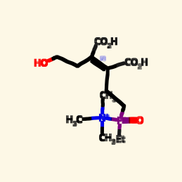 CCP(=O)(CC/C(C(=O)O)=C(\CCO)C(=O)O)[N+](C)(C)C